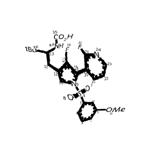 COc1cccc(S(=O)(=O)n2cc(CC(NC(=O)O)C(C)(C)C)c(F)c2-c2cccnc2F)c1